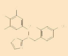 COc1ccc(CN(Sc2cc(Cl)c(F)c(Cl)c2)c2nccs2)c(OC)c1